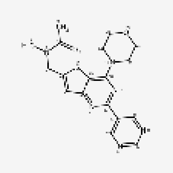 CC(=O)N(C)Cc1cc2nc(-c3cncnc3)nc(N3CCOCC3)c2s1